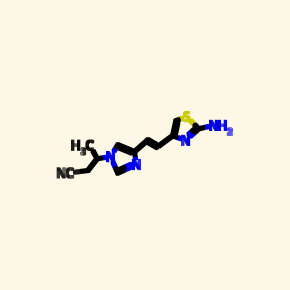 CC(CC#N)n1cnc(/C=C/c2csc(N)n2)c1